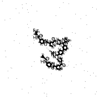 Cn1nnc(C(c2ccc(-c3cccc(C(c4nnn(C)n4)N4CCN(C(=O)c5cc(-c6nc7cc(NC(=O)[C@H]8CC8(F)F)ccc7o6)ccn5)CC4)c3)cc2)N2CCN(C(=O)c3cc(-c4nc5cc(NC(=O)C6CC6)ccc5o4)ccn3)CC2)n1